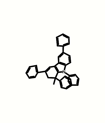 CC1(c2ccccc2)CC(c2ccccc2)=Cc2c1n(-c1ccccc1)c1ccc(-c3ccccc3)cc21